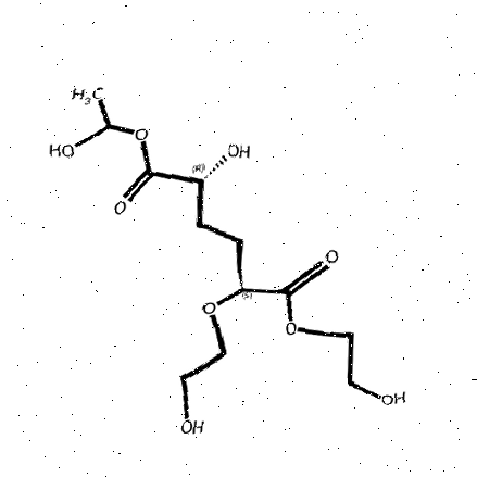 CC(O)OC(=O)[C@H](O)CC[C@H](OCCO)C(=O)OCCO